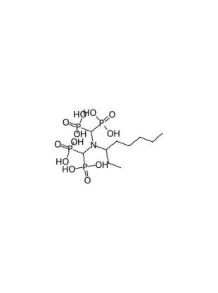 CCCCCC(CC)N(C(P(=O)(O)O)P(=O)(O)O)C(P(=O)(O)O)P(=O)(O)O